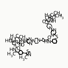 Cc1ncsc1-c1ccc([C@H](C)NC(=O)[C@@H]2C[C@@H](O)CN2C(=O)[C@@H](NC(=O)c2cnc(N3CCN(C4CC(C(=O)Nc5cccc(Sc6cnc(N7CCC8(CC7)CO[C@@H](C)[C@H]8NC(=O)OC(C)(C)C)cn6)c5)C4)CC3)nc2)C(C)(C)C)cc1